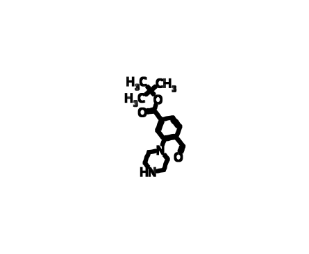 CC(C)(C)OC(=O)c1ccc(C=O)c(N2CCNCC2)c1